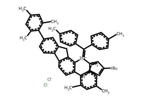 CCC1C=C(C(C)(C)C)C=[C]1[Zr+2](=[C](c1ccc(C)cc1)c1ccc(C)cc1)[c]1c(-c2c(C)cc(C)cc2C)ccc2c1Cc1cc(-c3c(C)cc(C)cc3C)ccc1-2.[Cl-].[Cl-]